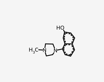 CN1CCN(c2cccc3ccc(O)cc23)CC1